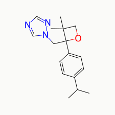 CC(C)c1ccc(C2(Cn3cncn3)OCC2(C)C)cc1